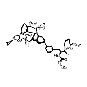 CO[C@@H](C)c1ncc(N2CCN(C3CC3)CC2)cc1-c1c(CC(C)(C)COC(C)=O)c2cc(-c3cccc(CC(NC(=O)OC(C)(C)C)C(=O)N4CCCC(C(=O)O)N4)c3)ccc2n1CC(F)(F)F